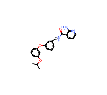 CC(C)Oc1cccc(Oc2cccc(CNC(=O)c3cccnc3N)c2)c1